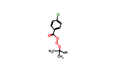 CCCC(C)(C)OOOC(=O)c1ccc(Cl)cc1